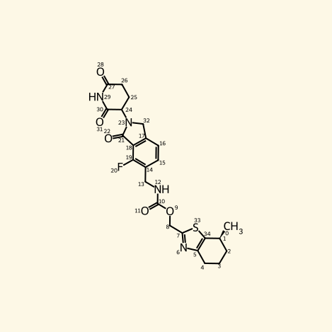 C[C@H]1CCCc2nc(COC(=O)NCc3ccc4c(c3F)C(=O)N(C3CCC(=O)NC3=O)C4)sc21